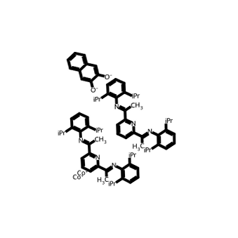 CC(=Nc1c(C(C)C)cccc1C(C)C)c1cccc(C(C)=Nc2c(C(C)C)cccc2C(C)C)n1.CC(=Nc1c(C(C)C)cccc1C(C)C)c1cccc(C(C)=Nc2c(C(C)C)cccc2C(C)C)n1.[Co+].[Co+].[O-]c1cc2ccccc2cc1[O-]